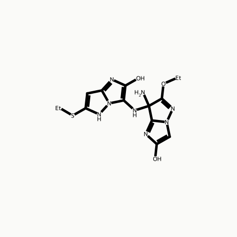 CCOC1=Nn2cc(O)nc2C1(N)Nc1c(O)nc2cc(SCC)[nH]n12